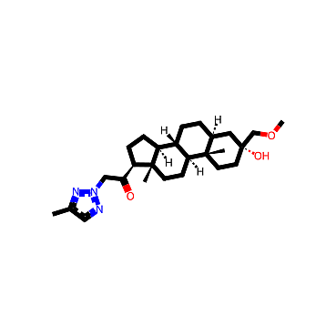 COC[C@@]1(O)CC[C@@]2(C)[C@@H](CC[C@@H]3[C@@H]2CC[C@]2(C)[C@@H](C(=O)Cn4ncc(C)n4)CC[C@@H]32)C1